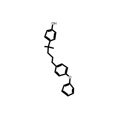 CC(C)(CCCc1ccc(Oc2ccccc2)cc1)c1ccc(O)cc1